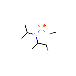 COP(=O)(O)[N+](C(C)C)C(C)CCl